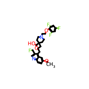 COc1ccc2ncc(CF)c(CCCC3(C(=O)O)CCN(CCOc4c(F)cc(F)cc4F)CC3)c2c1